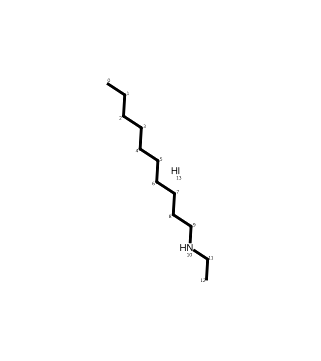 CCCCCCCCCCNCC.I